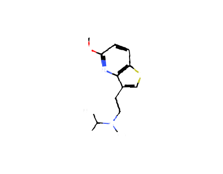 COc1ccc2scc(CCN(C)C(C)C)c2n1